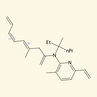 C=C/C=C\C=C(/C)CC(=C)N(c1nc(C=C)ccc1C)C(C)(CC)CCC